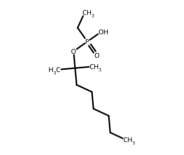 CCCCCCC(C)(C)OP(=O)(O)CC